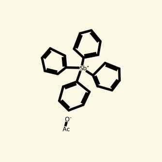 CC(=O)[O-].c1cc[c]([Sb+]([c]2ccccc2)([c]2ccccc2)[c]2ccccc2)cc1